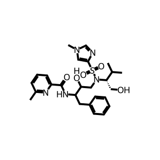 Cc1cccc(C(=O)NC(Cc2ccccc2)C(O)CN([C@@H](CO)C(C)C)S(=O)(=O)c2cn(C)cn2)n1